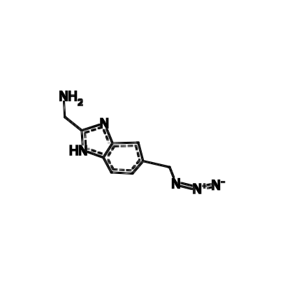 [N-]=[N+]=NCc1ccc2[nH]c(CN)nc2c1